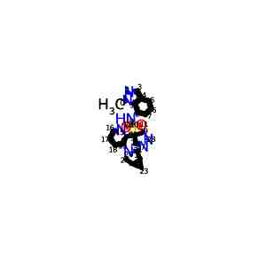 Cn1ncc2cccc(NS(=O)(=O)C3(c4ncccc4N4CC5CC5C4)C=NN=C3)c21